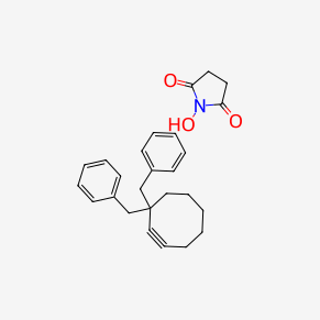 C1#CC(Cc2ccccc2)(Cc2ccccc2)CCCCC1.O=C1CCC(=O)N1O